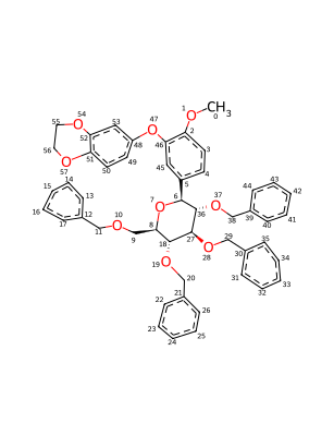 COc1ccc([C@@H]2O[C@H](COCc3ccccc3)[C@@H](OCc3ccccc3)[C@H](OCc3ccccc3)[C@H]2OCc2ccccc2)cc1Oc1ccc2c(c1)OCCO2